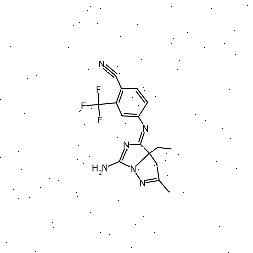 CCC12CC(C)=NN1C(N)=N/C2=N\c1ccc(C#N)c(C(F)(F)F)c1